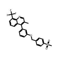 Cc1cnc2c(C(F)(F)F)cccc2c1-c1cccc(OCc2ccc(S(C)(=O)=O)cc2)c1